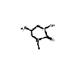 CN1CC(N)CN(S)C1=O